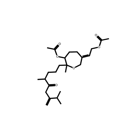 C=C(CC(=O)C(C)CCCC1(C)OC/C(=C/COC(C)=O)CCC1OC(C)=O)C(C)C